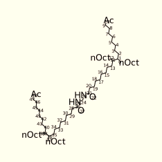 CCCCCCCCC(CCCCCCCCC(C)=O)C(CCCCCCCC)CCCCCCCCC(=O)NCNC(=O)CCCCCCCCC(CCCCCCCC)C(CCCCCCCC)CCCCCCCCC(C)=O